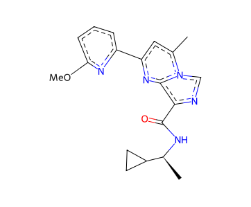 COc1cccc(-c2cc(C)n3cnc(C(=O)N[C@@H](C)C4CC4)c3n2)n1